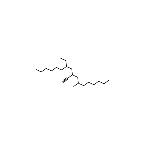 CCCCCCC(C)CC(C#N)CC(CC)CCCCCC